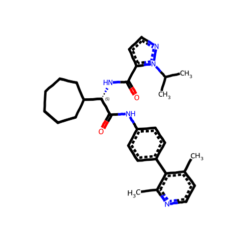 Cc1ccnc(C)c1-c1ccc(NC(=O)[C@@H](NC(=O)c2ccnn2C(C)C)C2CCCCCC2)cc1